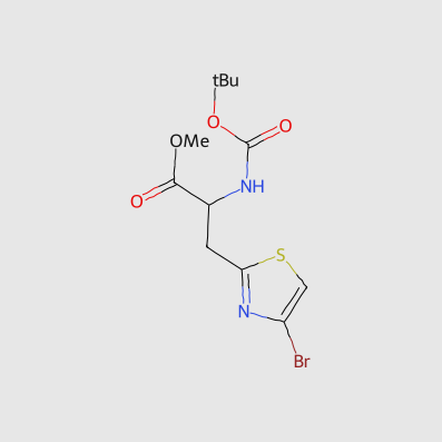 COC(=O)C(Cc1nc(Br)cs1)NC(=O)OC(C)(C)C